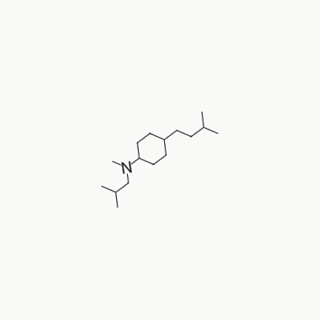 CC(C)CCC1CCC(N(C)CC(C)C)CC1